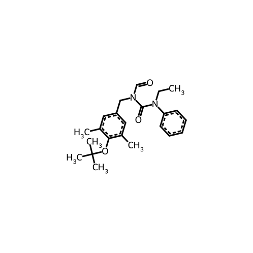 CCN(C(=O)N(C=O)Cc1cc(C)c(OC(C)(C)C)c(C)c1)c1ccccc1